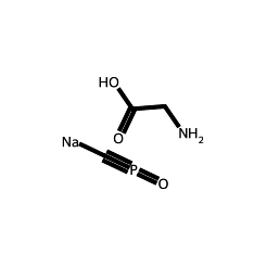 NCC(=O)O.O=P#[C][Na]